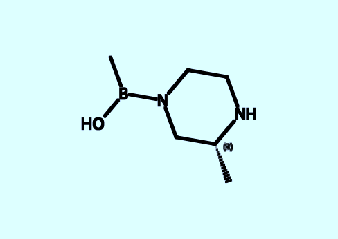 CB(O)N1CCN[C@H](C)C1